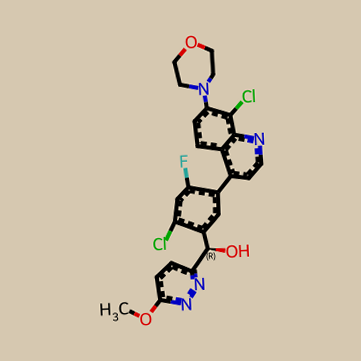 COc1ccc([C@H](O)c2cc(-c3ccnc4c(Cl)c(N5CCOCC5)ccc34)c(F)cc2Cl)nn1